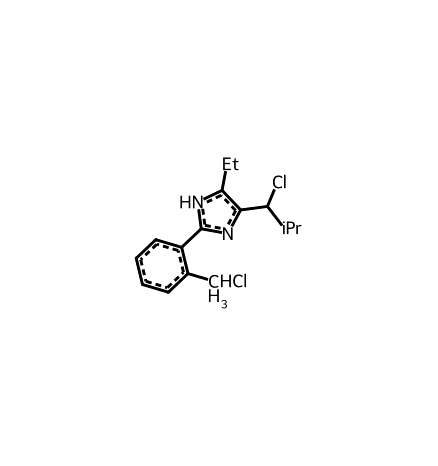 CCc1[nH]c(-c2ccccc2C)nc1C(Cl)C(C)C.Cl